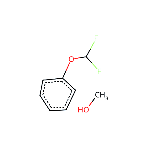 CO.FC(F)Oc1ccccc1